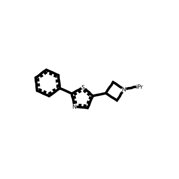 CC(C)N1CC(c2cnc(-c3ccccc3)s2)C1